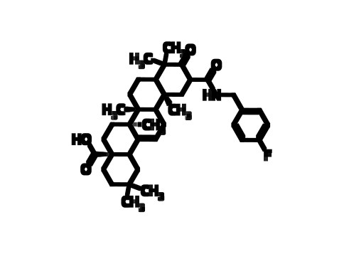 CC1(C)CC[C@]2(C(=O)O)CC[C@]3(C)C(=CCC4[C@@]5(C)CC(C(=O)NCc6ccc(F)cc6)C(=O)C(C)(C)C5CC[C@]43C)C2C1